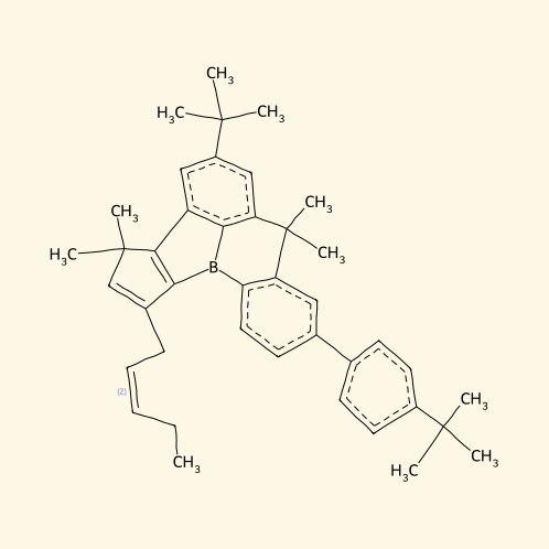 CC/C=C\CC1=CC(C)(C)C2=C1B1c3ccc(-c4ccc(C(C)(C)C)cc4)cc3C(C)(C)c3cc(C(C)(C)C)cc2c31